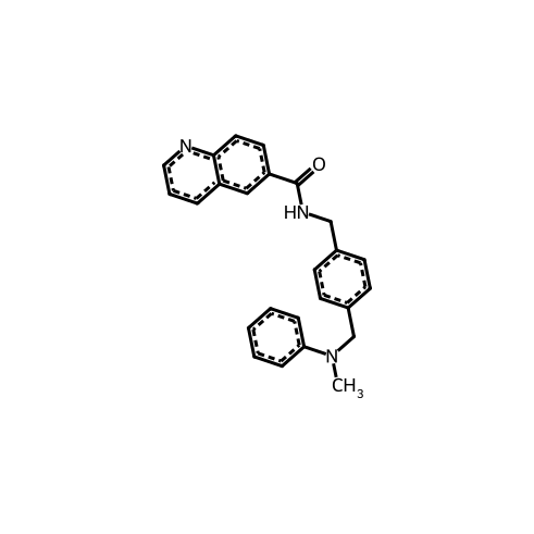 CN(Cc1ccc(CNC(=O)c2ccc3ncccc3c2)cc1)c1ccccc1